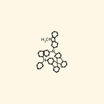 Cn1c2ccccc2c2ccc(N(c3ccccc3)c3ccc4c(c3)C3(c5ccccc5-c5cc(N(c6ccccc6)c6ccccc6)ccc53)c3ccccc3-4)cc21